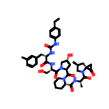 CCc1ccc(NC(=O)N[C@@H](Cc2cccc(C)c2)C(=O)N[C@@H](CO)C(=O)N2C[C@H](O)C[C@H]2C(=O)N2CCCC[C@H]2C(=O)N[C@@H](C)C(=O)N2C[C@@H](C)C[C@@]23CC3=O)cc1